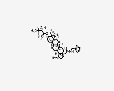 CC(C)[C@@H]1CC[C@]2(CC(=O)NCc3nccs3)CC[C@]3(C)[C@H](CC[C@@H]4[C@@]5(C)CC[C@H](OC(=O)CC(C)(C)C(=O)O)C(C)(C)[C@@H]5CC[C@]43C)[C@@H]12